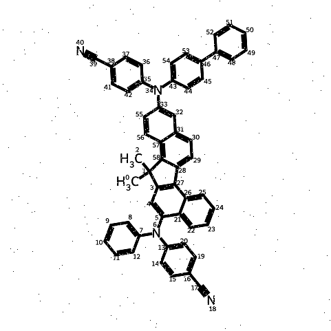 CC1(C)c2cc(N(c3ccccc3)c3ccc(C#N)cc3)c3ccccc3c2-c2ccc3cc(N(c4ccc(C#N)cc4)c4ccc(-c5ccccc5)cc4)ccc3c21